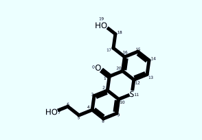 O=c1c2cc(CCO)ccc2sc2cccc(CCO)c12